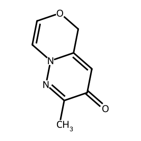 Cc1nn2c(cc1=O)COC=C2